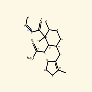 C/C=C\C(=O)C1(C)C(C)CCC(CC2=C(C)CCC2)C1CC(=O)OC